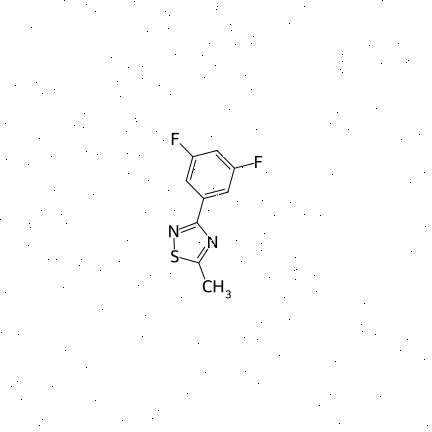 Cc1nc(-c2cc(F)cc(F)c2)ns1